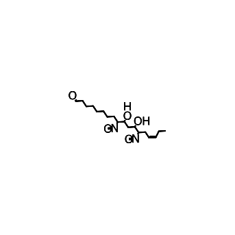 CC/C=C\CC(N=O)C(O)CC(O)C(CCCCCCCC=O)N=O